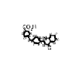 O=C(O)c1ccc(Cc2ccc(-c3cc(=O)c4ccccc4[nH]3)cc2)cc1